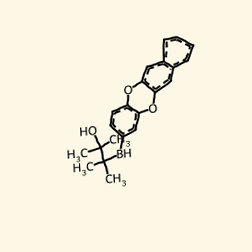 CC(C)(O)C(C)(C)Bc1ccc2c(c1)Oc1cc3ccccc3cc1O2